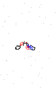 CCC(=O)N1C2CCC1CN(CCC(C)(C)Oc1ccccc1)C2